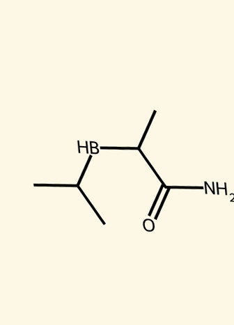 CC(C)BC(C)C(N)=O